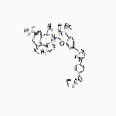 CCC(NC(=O)/N=C1\SCCN1c1c(C)cc(C)cc1C)c1ccc(-c2ncn(-c3ccc(OC(F)(F)F)cc3)n2)cc1